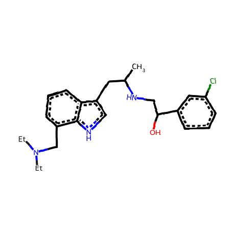 CCN(CC)Cc1cccc2c(CC(C)NCC(O)c3cccc(Cl)c3)c[nH]c12